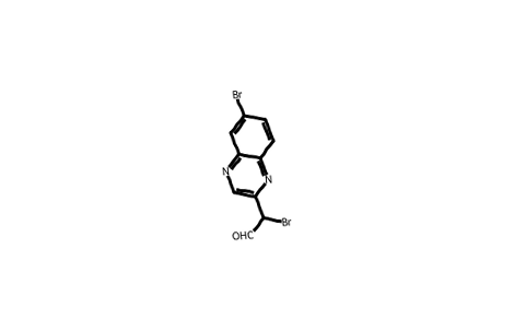 O=CC(Br)c1cnc2cc(Br)ccc2n1